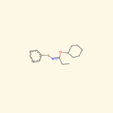 CC/C(=N/Sc1ccccc1)OC1CCCCC1